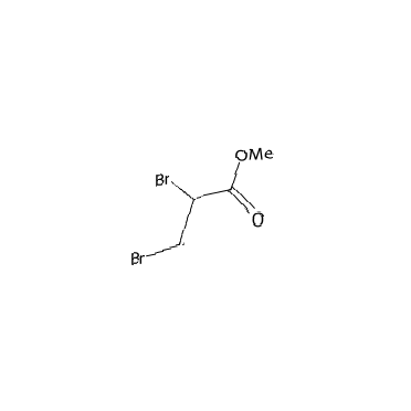 COC(=O)C(Br)[CH]Br